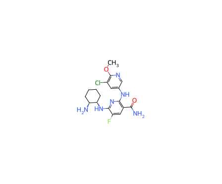 COc1ncc(Nc2nc(N[C@@H]3CCCC[C@@H]3N)c(F)cc2C(N)=O)cc1Cl